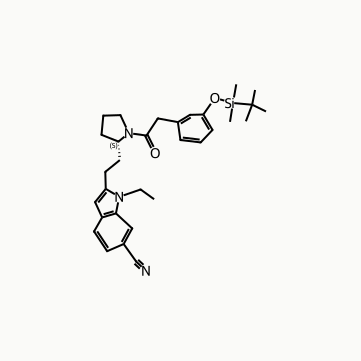 CCn1c(CC[C@@H]2CCCN2C(=O)Cc2cccc(O[Si](C)(C)C(C)(C)C)c2)cc2ccc(C#N)cc21